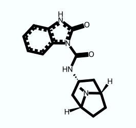 CN1[C@@H]2CC[C@H]1C[C@@H](NC(=O)n1c(=O)[nH]c3ccccc31)C2